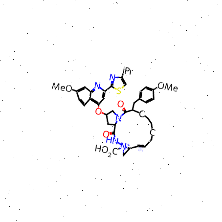 COc1ccc(CC2CCCCC/C=C/C3C[N+]3(C(=O)O)NC(=O)C3CC(Oc4cc(-c5nc(C(C)C)cs5)nc5cc(OC)ccc45)CN3C2=O)cc1